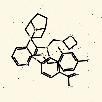 O=C(O)c1ccc2nc(CN3C4CCC3CN(c3cccnc3OCc3ccc(Cl)cc3F)C4)n(C[C@@H]3CCO3)c2c1